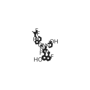 C#Cc1c(F)ccc2cc(O)cc(-c3ncc4c(N5CCC[C@@](C)(O)C5)nc(OC[C@]56CCC[C@H]5N(CC5[C@@H](C)C5(F)F)CCC6)nc4c3F)c12